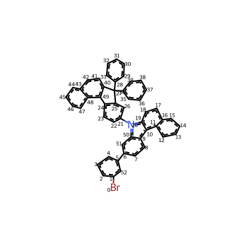 Brc1cccc(-c2ccc3c4c5ccccc5ccc4n(-c4ccc5c(c4)C(c4ccccc4)(c4ccccc4)c4ccc6ccccc6c4-5)c3c2)c1